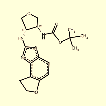 CC(C)(C)OC(=O)N[C@H]1COC[C@H]1Nc1nc2c3c(ccc2s1)OCC3